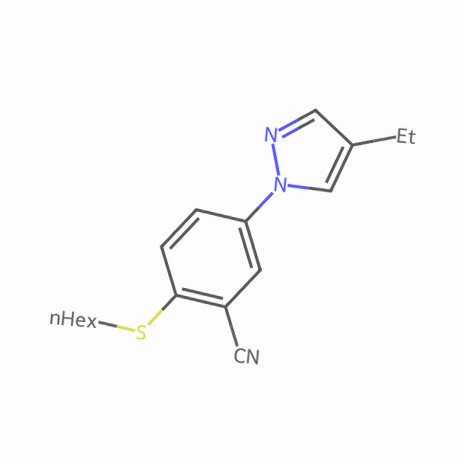 [CH2]Cc1cnn(-c2ccc(SCCCCCC)c(C#N)c2)c1